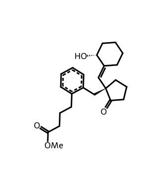 COC(=O)CCCc1ccccc1C[C@@]1(/C=C2\CCCC[C@H]2O)CCCC1=O